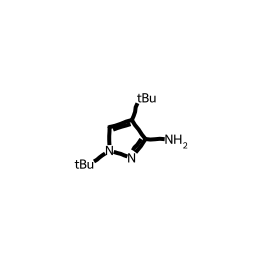 CC(C)(C)c1cn(C(C)(C)C)nc1N